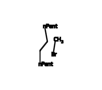 CBr.CCCCCCCCCCCC